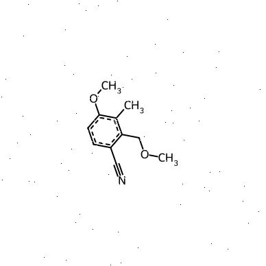 COCc1c(C#N)ccc(OC)c1C